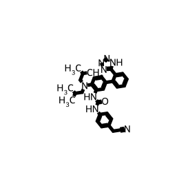 CC(C)CN(CC(C)C)c1ccc(-c2ccccc2-c2nnn[nH]2)cc1NC(=O)Nc1ccc(CC#N)cc1